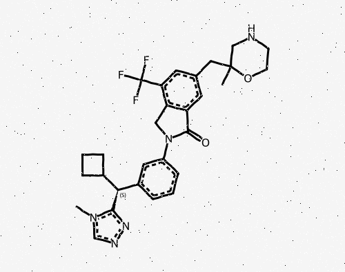 Cn1cnnc1[C@H](c1cccc(N2Cc3c(cc(CC4(C)CNCCO4)cc3C(F)(F)F)C2=O)c1)C1CCC1